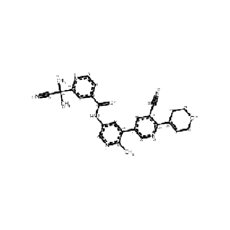 Cc1ncc(NC(=O)c2ccnc(C(C)(C)C#N)c2)cc1-c1cnc(C2=CCOCC2)c(C#N)c1